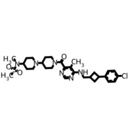 Cc1c(NCC2CC(c3ccc(Cl)cc3)C2)ncnc1C(=O)N1CCC(N2CCC(N(C)S(C)(=O)=O)CC2)CC1